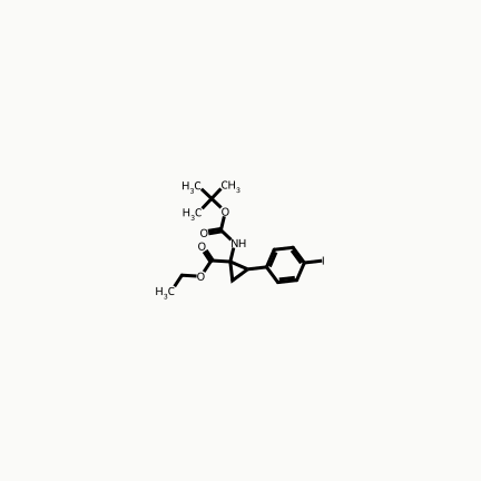 CCOC(=O)C1(NC(=O)OC(C)(C)C)CC1c1ccc(I)cc1